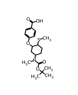 CSC1CCC(N(C)C(=O)OC(C)(C)C)CC1Oc1ccc(C(=O)O)cc1